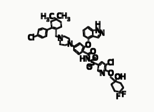 CC1(C)CCC(CN2CCN(c3ccc(C(=O)NS(=O)(=O)c4cnc(OCC5(O)CCC(F)(F)CC5)c(Cl)c4)c(Oc4cccc5[nH]ncc45)c3)CC2)=C(c2ccc(Cl)cc2)C1